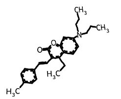 CCCN(CCC)c1ccc2c(CC)c(/C=C/c3ccc(C)cc3)c(=O)oc2c1